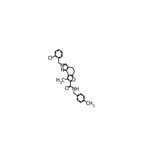 Cc1ccc(CNC(=O)c2oc3c(c2C)-c2nn(Cc4ccccc4Cl)cc2CC3)cc1